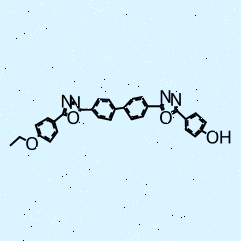 CCOc1ccc(-c2nnc(-c3ccc(-c4ccc(-c5nnc(-c6ccc(O)cc6)o5)cc4)cc3)o2)cc1